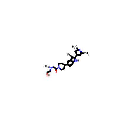 CCCCN(CCO)CC(=O)N1CCC(c2ccc3[nH]c(-c4cc(C)nc(C)c4)c(C(C)C)c3c2)CC1